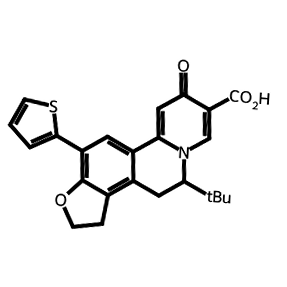 CC(C)(C)C1Cc2c(cc(-c3cccs3)c3c2CCO3)-c2cc(=O)c(C(=O)O)cn21